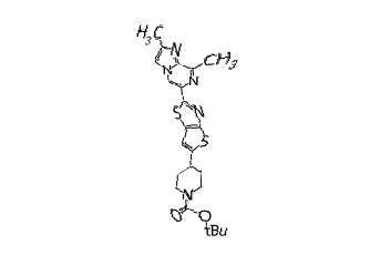 Cc1cn2cc(-c3nc4sc(C5CCN(C(=O)OC(C)(C)C)CC5)cc4s3)nc(C)c2n1